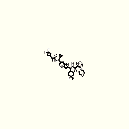 O=C(CC1CC(F)(F)C1)N[C@@H](c1cnn2cc([C@@H](NC(=O)c3nonc3N3CCOCC3)C3CCC(F)(F)CC3)nc2c1)C1CC1